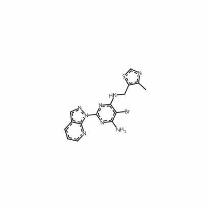 Cc1ncsc1CNc1nc(-n2ncc3cccnc32)nc(N)c1Br